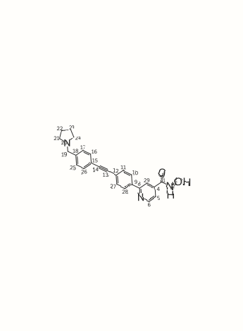 O=C(NO)c1ccnc(-c2ccc(C#Cc3ccc(CN4CCCC4)cc3)cc2)c1